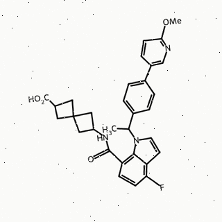 COc1ccc(-c2ccc(C(C)n3ccc4c(F)ccc(C(=O)NC5CC6(C5)CC(C(=O)O)C6)c43)cc2)cn1